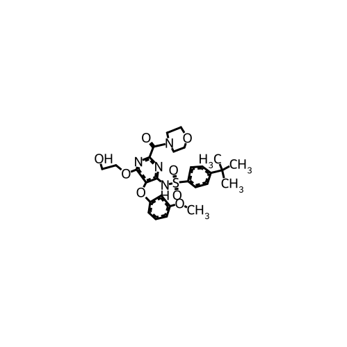 COc1cccc(Oc2c(NS(=O)(=O)c3ccc(C(C)(C)C)cc3)nc(C(=O)N3CCOCC3)nc2OCCO)c1